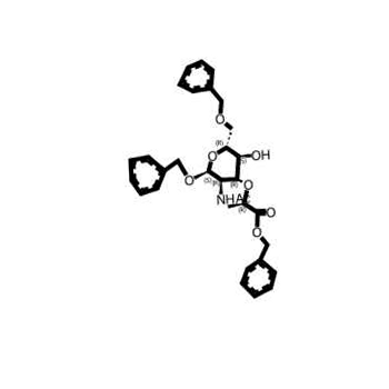 CC(=O)N[C@H]1[C@@H](OCc2ccccc2)O[C@H](COCc2ccccc2)[C@@H](O)[C@@H]1O[C@H](C)C(=O)OCc1ccccc1